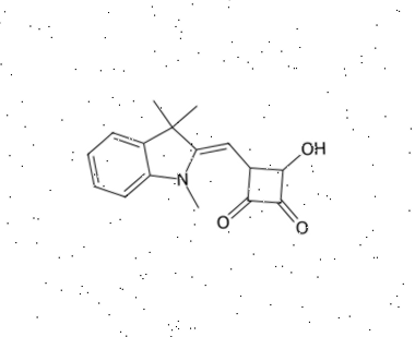 CN1C(=CC2C(=O)C(=O)C2O)C(C)(C)c2ccccc21